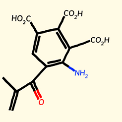 C=C(C)C(=O)c1cc(C(=O)O)c(C(=O)O)c(C(=O)O)c1N